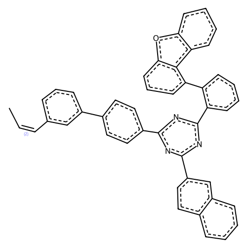 C/C=C\c1cccc(-c2ccc(-c3nc(-c4ccc5ccccc5c4)nc(-c4ccccc4-c4cccc5oc6ccccc6c45)n3)cc2)c1